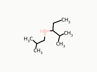 CCC(BCC(C)C)C(C)C